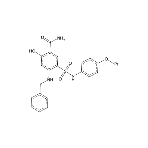 CC(C)Oc1ccc(NS(=O)(=O)c2cc(C(N)=O)c(O)cc2NCc2ccccc2)cc1